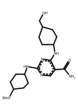 COC1CCC(Nc2ncc(C(N)=O)c(NC3CCC(CO)CC3)n2)CC1